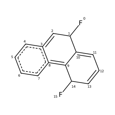 FC1C=c2ccccc2=C2C1=CC=CC2F